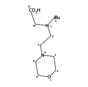 CCC(C)N(CCN1CCOCC1)CC(=O)O